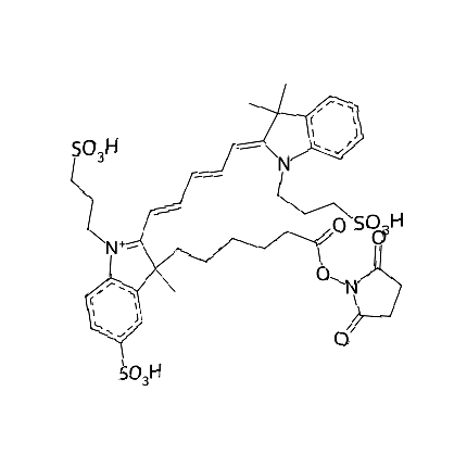 CC1(CCCCCC(=O)ON2C(=O)CCC2=O)C(/C=C/C=C/C=C2\N(CCCS(=O)(=O)O)c3ccccc3C2(C)C)=[N+](CCCS(=O)(=O)O)c2ccc(S(=O)(=O)O)cc21